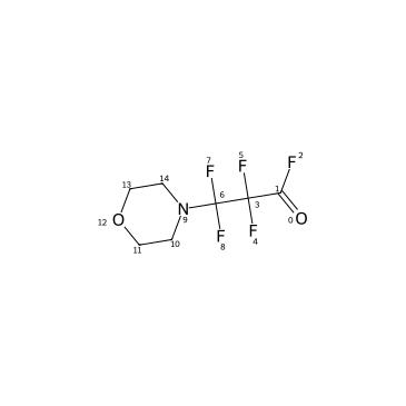 O=C(F)C(F)(F)C(F)(F)N1CCOCC1